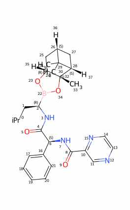 CC(C)C[C@H](NC(=O)[C@@H](NC(=O)c1cnccn1)c1ccccc1)B1O[C@@H]2C[C@@H]3C[C@@H](C3(C)C)[C@]2(C)O1